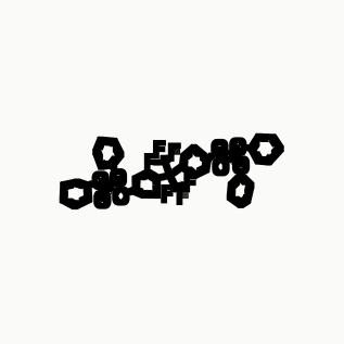 O=P(Oc1ccccc1)(Oc1ccccc1)Oc1ccc(C(c2ccc(OP(=O)(Oc3ccccc3)Oc3ccccc3)cc2)(C(F)(F)F)C(F)(F)F)cc1